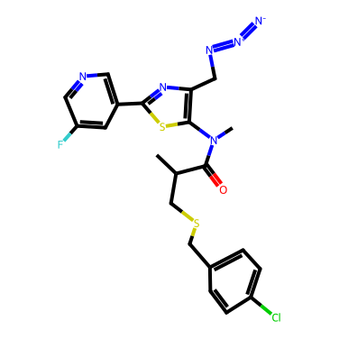 CC(CSCc1ccc(Cl)cc1)C(=O)N(C)c1sc(-c2cncc(F)c2)nc1CN=[N+]=[N-]